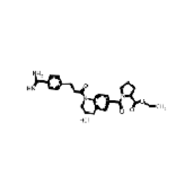 CCOC(=O)C1CCCN1C(=O)c1ccc2c(c1)CCCN2C(=O)CCc1ccc(C(=N)N)cc1.Cl